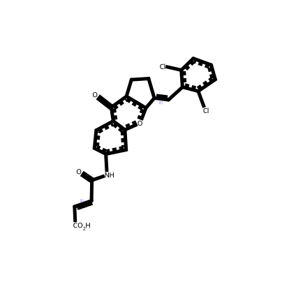 O=C(O)/C=C/C(=O)Nc1ccc2c(=O)c3c(oc2c1)/C(=C/c1c(Cl)cccc1Cl)CC3